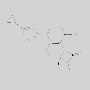 NC1C(=O)N2C(C(=O)O)=C(C(=S)c3n[nH]c(C4CC4)n3)CS[C@@H]12